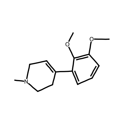 COc1cccc(C2=CCN(C)CC2)c1OC